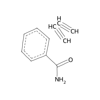 C#C.C#C.NC(=O)c1ccccc1